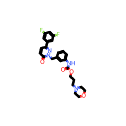 O=C(Nc1cccc(Cn2nc(-c3cc(F)cc(F)c3)ccc2=O)c1)OCCCN1CCOCC1